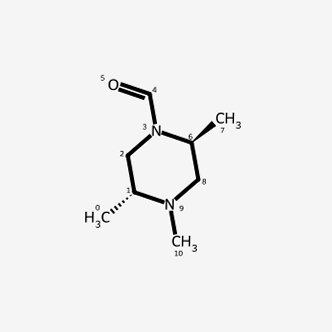 C[C@@H]1CN(C=O)[C@@H](C)CN1C